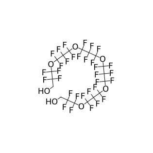 OCC(F)(F)C(F)(F)OC(F)(F)C(F)(F)C(F)(F)OC(F)(F)C(F)(F)C(F)(F)OC(F)(F)C(F)(F)C(F)(F)OC(F)(F)C(F)(F)C(F)(F)OC(F)(F)C(F)(F)CO